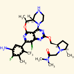 Cc1c(F)c(N)cc(-c2nc3c4c(nc(OC[C@H]5CC[C@H](C)N5CC(=O)N(C)C)nc4c2F)N2CCNC[C@H]2[C@H](C)O3)c1C(F)(F)F